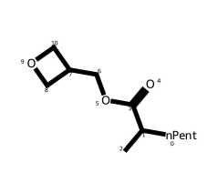 CCCCCC(C)C(=O)OCC1COC1